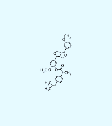 COc1cccc([C@H]2OCC3C(c4ccc(OC)c(OC(=O)C(C)c5ccc(CC(C)C)cc5)c4)OCC32)c1